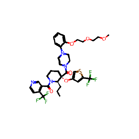 CCC[C@H]1N(C(=O)c2cnccc2C(F)(F)F)CCC[C@@]1(Oc1csc(C(F)(F)F)c1)C(=O)N1CCN(c2ccccc2OCCOCCOC)CC1